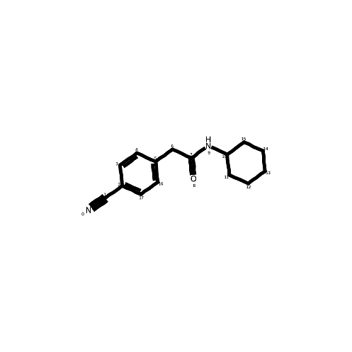 N#Cc1ccc(CC(=O)NC2CCCCC2)cc1